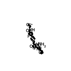 Cn1c(=O)n(CCN2CCN(c3ccc(C(=O)NCC[S+](C)[O-])cc3F)CC2)c2nc(N)n3nc(-c4ccco4)nc3c21